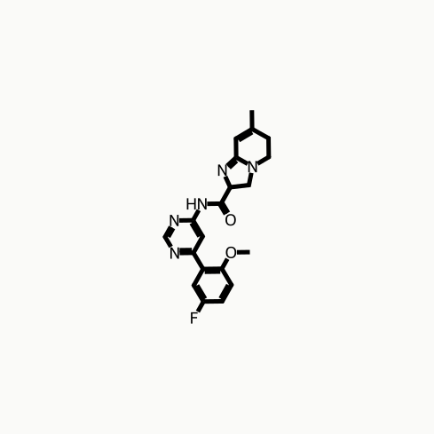 COc1ccc(F)cc1-c1cc(NC(=O)C2CN3CCC(C)=CC3=N2)ncn1